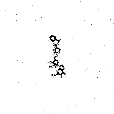 C[C@@H](OC(=O)[C@@H]1CSP(=O)(OCC2O[C@@H](n3cnc4c(=O)[nH]c(N)nc43)[C@](C)(O)[C@@H]2O)N1)c1ccccc1